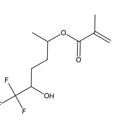 C=C(C)C(=O)OC(C)CCC(O)C(F)(F)F